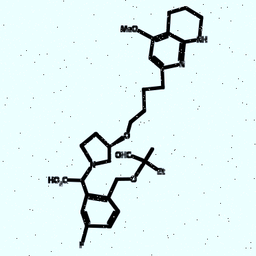 CCC(C)(C=O)OCc1ccc(F)cc1C(C(=O)O)N1CC[C@@H](OCCCCc2cc(OC)c3c(n2)NCCC3)C1